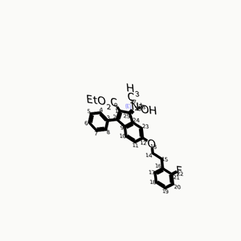 CCOC(=O)C1=C(c2ccccc2)c2ccc(OCCc3ccccc3F)cc2/C1=[N+](/C)O